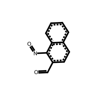 O=Cc1ccc2ccccc2c1N=O